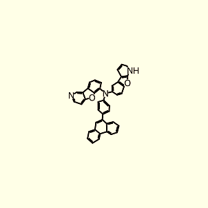 C1=Cc2c(oc3ccc(N(c4ccc(-c5cc6ccccc6c6ccccc56)cc4)c4cccc5c4oc4ccncc45)cc23)NC1